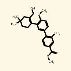 COC(=O)c1ccc(-c2ccc(OC)c(C3=C(CO)CC(C)(C)CC3)c2)c(C)c1